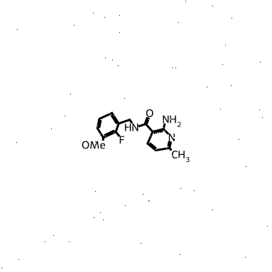 COc1cccc(CNC(=O)c2ccc(C)nc2N)c1F